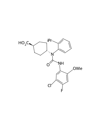 COc1cc(F)c(Cl)cc1NC(=O)N(c1ccccc1C(C)C)[C@H]1CC[C@H](C(=O)O)CC1